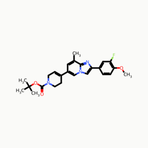 COc1ccc(-c2cn3cc(C4=CCN(C(=O)OC(C)(C)C)CC4)cc(C)c3n2)cc1F